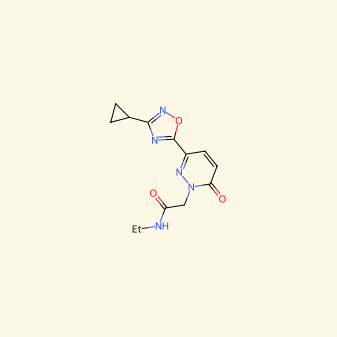 CCNC(=O)Cn1nc(-c2nc(C3CC3)no2)ccc1=O